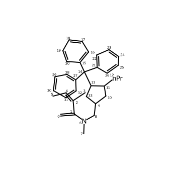 C=C(/C(C)=C\C)N(C)CC1CC(CCC)C(C(c2ccccc2)(c2ccccc2)c2ccccc2)C1